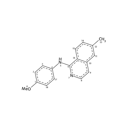 COc1ccc(Nc2nccc3cc(C)ccc23)cc1